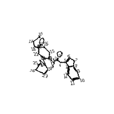 CN(C(=O)CC1=CCc2ccccc21)[C@H]1CC[C@]2(CCCO2)C[C@@H]1N1CCCC1